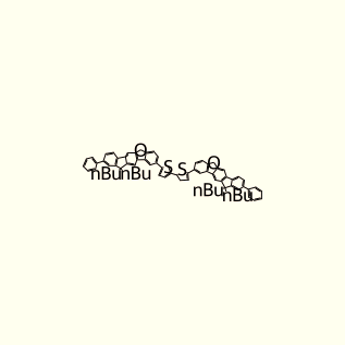 CCCCC1(CCCC)c2cc(-c3ccccc3)ccc2-c2cc3oc4ccc(C5=CCC(c6ccc(-c7ccc8oc9cc%10c(cc9c8c7)C(CCCC)(CCCC)c7cc(-c8ccccc8)ccc7-%10)s6)S5)cc4c3cc21